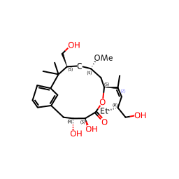 CC[C@H](/C=C(/C)[C@@H]1C[C@@H](OC)C[C@H](CO)C(C)(C)c2cccc(c2)C[C@@H](O)[C@H](O)C(=O)O1)CO